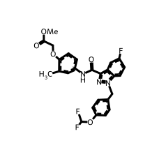 COC(=O)COc1ccc(NC(=O)c2nn(Cc3ccc(OC(F)F)cc3)c3ccc(F)cc23)cc1C